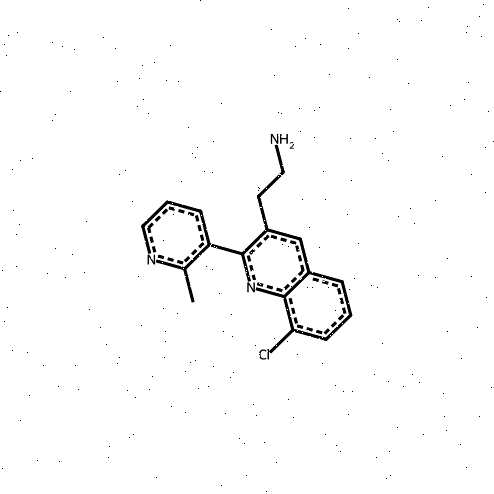 Cc1ncccc1-c1nc2c(Cl)cccc2cc1CCN